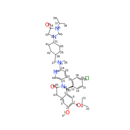 COc1cc2c(cc1OC(C)C)[C@H](c1ccc(Cl)cc1)N(c1ccc(N(C)CC3CCC(N4CC(=O)N(C(C)C)C4)CC3)nc1)C(=O)C2